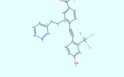 O=C(O)c1ccc(C#Cc2ccc(O)cc2C(F)(F)F)c(CCc2cccnc2)c1